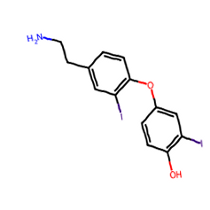 NCCc1ccc(Oc2ccc(O)c(I)c2)c(I)c1